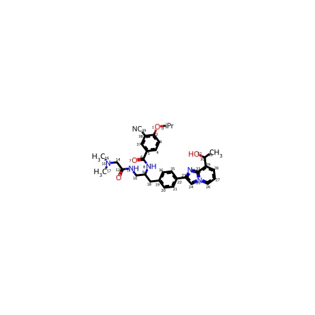 CC(C)Oc1ccc(C(=O)NC(CNC(=O)CN(C)C)Cc2ccc(-c3cn4cccc(C(C)O)c4n3)cc2)cc1C#N